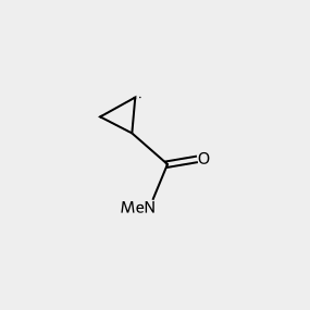 CNC(=O)C1[CH]C1